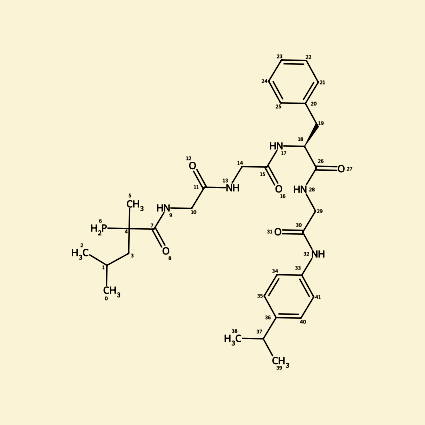 CC(C)CC(C)(P)C(=O)NCC(=O)NCC(=O)N[C@@H](Cc1ccccc1)C(=O)NCC(=O)Nc1ccc(C(C)C)cc1